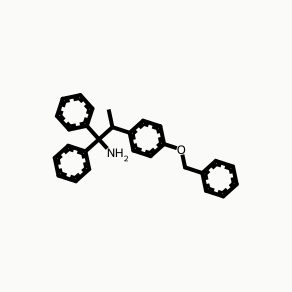 CC(c1ccc(OCc2ccccc2)cc1)C(N)(c1ccccc1)c1ccccc1